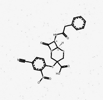 N#Cc1ccc(SC2(C(=O)O)CS[C@@H]3[C@H](NC(=O)Cc4ccccc4)C(=O)N3C2)c([N+](=O)[O-])c1